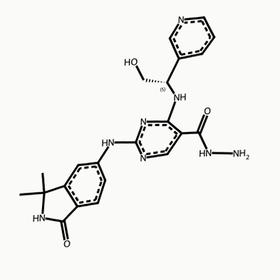 CC1(C)NC(=O)c2ccc(Nc3ncc(C(=O)NN)c(N[C@H](CO)c4cccnc4)n3)cc21